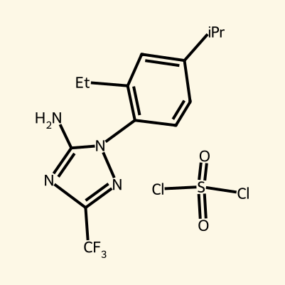 CCc1cc(C(C)C)ccc1-n1nc(C(F)(F)F)nc1N.O=S(=O)(Cl)Cl